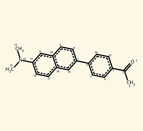 CC(=O)c1ccc(-c2ccc3cc(N(C)C)ccc3c2)cc1